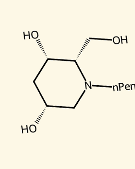 CCCCCN1C[C@H](O)C[C@H](O)[C@@H]1CO